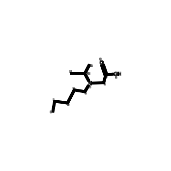 CCCCCN(CC(=O)O)C(C)C